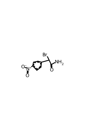 NC(=O)C(Br)c1ccc([N+](=O)[O-])cc1